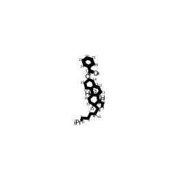 CC(C)CCC[C@@H](C)[C@H]1CC[C@H]2C3=CC=C4CC(OC(=O)c5ccccc5)CC[C@]4(C)[C@H]3CC[C@]12C